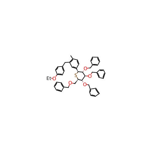 CCOc1ccc(Cc2cc([C@@H]3S[C@H](COCc4ccccc4)[C@@H](OCc4ccccc4)[C@H](OCc4ccccc4)[C@H]3OCc3ccccc3)ccc2C)cc1